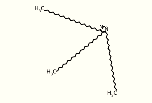 CCCCCCCCCCCCCCCCCCCCCCc1n[c]nc(CCCCCCCCCCCCCCCCCCCCCC)c1CCCCCCCCCCCCCCCCCCCCCC